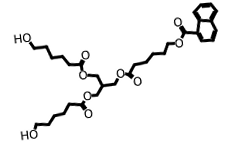 O=C(CCCCCO)OCC(COC(=O)CCCCCO)COC(=O)CCCCCOC(=O)c1cccc2ccccc12